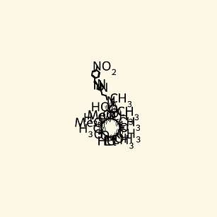 CC[C@H]1OC(=O)[C@H](C)[C@@H](OC)[C@H](C)[C@@H](O[C@@H]2O[C@H](C)C[C@H](N(C)CCCc3cn(Cc4ccc([N+](=O)[O-])cc4)nn3)[C@H]2O)[C@](C)(OC)C[C@@H](C)C(=O)[C@H](C)[C@@H](O)[C@]1(C)O